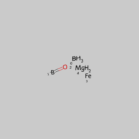 B.[B]=O.[Fe].[MgH2]